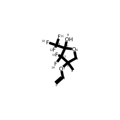 C=COC1(C)COC(O)(C(F)(F)F)C1(F)F